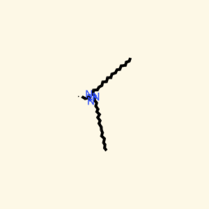 [CH2]Cc1nc(CCCCCCCCCCCCCCCCC)nc(CCCCCCCCCCCCCCCCC)n1